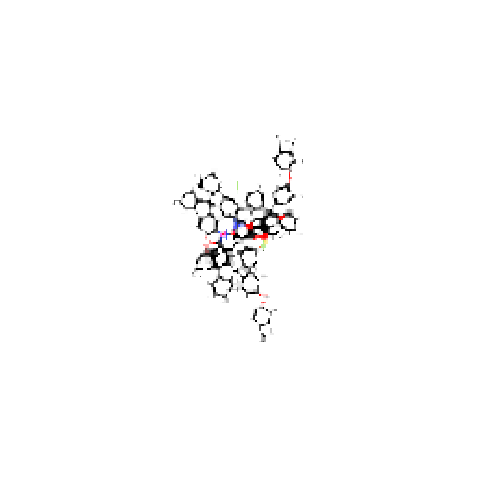 Fc1ccc(C2(c3ccc(Oc4ccc5c(c4)CC5)cc3)c3ccccc3-c3ccc(N(c4ccc5c(c4)C4(c6ccccc6-5)c5ccccc5-c5ccc(N(c6ccc7c(c6)C(c6ccc(F)cc6)(c6ccc(Oc8ccc9c(c8)CC9)cc6)c6ccccc6-7)c6ccc7c(c6)oc6ccccc67)cc54)c4ccc5c(c4)oc4ccccc45)cc32)cc1